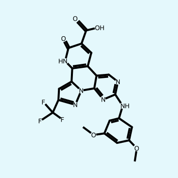 COc1cc(Nc2ncc3c4cc(C(=O)O)c(=O)[nH]c4c4cc(C(F)(F)F)nn4c3n2)cc(OC)c1